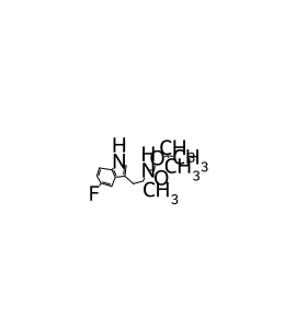 CC(Cc1c[nH]c2ccc(F)cc12)NC(=O)OC(C)(C)C